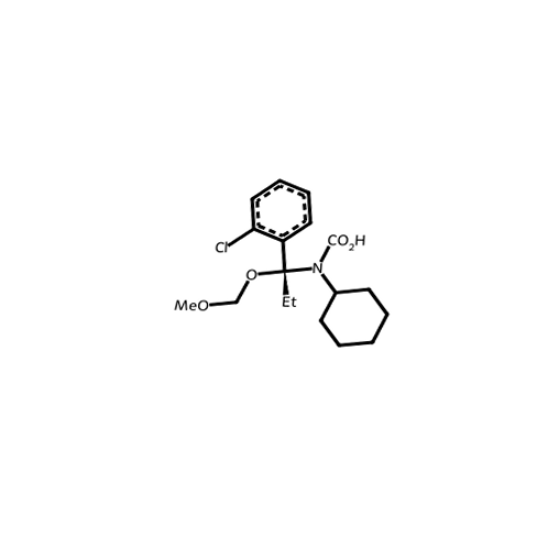 CC[C@@](OCOC)(c1ccccc1Cl)N(C(=O)O)C1CCCCC1